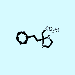 CCOC(=O)CC1(CCc2ccccc2)SCCS1